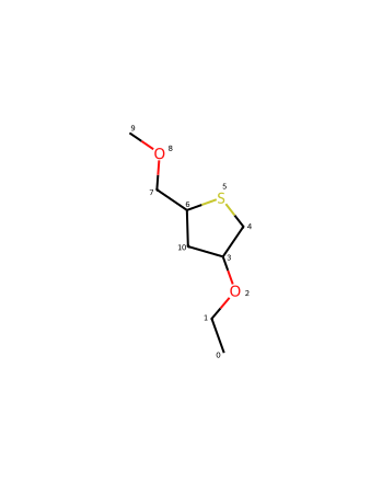 CCOC1CSC(COC)C1